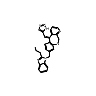 CCCc1nc2ccccc2n1Cc1ccc2c(c1)OCc1ncccc1/C2=C\c1nnn[nH]1